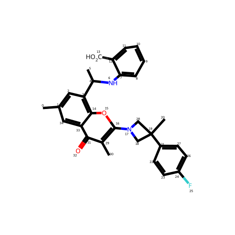 Cc1cc(C(C)Nc2ccccc2C(=O)O)c2oc(N3CC(C)(c4ccc(F)cc4)C3)c(C)c(=O)c2c1